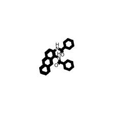 O=C(Nc1ccc2cc3ccccc3cc2c1NC(=O)C1CCCCC1)C1CCCCC1